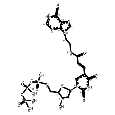 O=C(/C=C/c1cn([C@H]2C[C@@H](O)C(COP(=O)(O)OP(=O)(O)OP(=O)(O)O)O2)c(=O)[nH]c1=O)NCCn1cnc2c(=O)[nH]cnc21